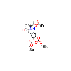 COC(=O)[C@H](Cc1ccc(OC(=O)OCC(C)(C)C)c(OC(=O)OCC(C)(C)C)c1)NCC(C)OC(=O)C(C)C